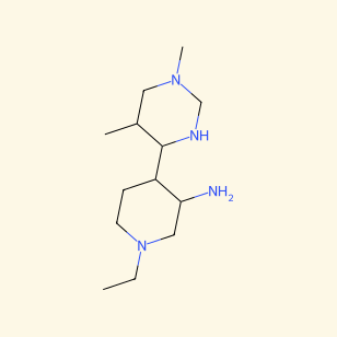 CCN1CCC(C2NCN(C)CC2C)C(N)C1